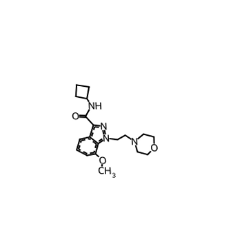 COc1cccc2c(C(=O)NC3CCC3)nn(CCN3CCOCC3)c12